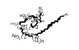 CC(=O)CCCCCCCCCCCCCCCCC(=O)N[C@@H](CCC(=O)N[C@@H](CCC(=O)N[C@@H](CCC(=O)N[C@@H](CCC(=O)N[C@@H](CCC(N)=O)C(=O)C[C@H]1CSSC[C@@H](C(=O)O)CC1=O)C(=O)O)C(=O)O)C(=O)O)C(=O)O